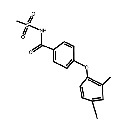 Cc1ccc(Oc2ccc(C(=O)NS(C)(=O)=O)cc2)c(C)c1